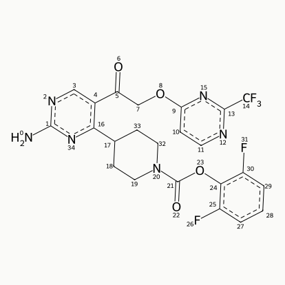 Nc1ncc(C(=O)COc2ccnc(C(F)(F)F)n2)c(C2CCN(C(=O)Oc3c(F)cccc3F)CC2)n1